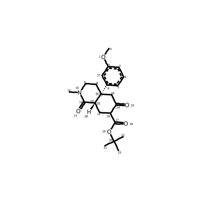 COc1cccc([C@@]23CCN(C)C(=O)[C@H]2CC(C(=O)OC(C)(C)C)C(=O)C3)c1